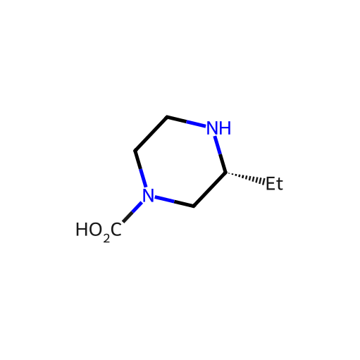 CC[C@@H]1CN(C(=O)O)CCN1